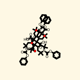 CC1(C)CC(C(CC(=O)O)(C(=O)O)C(C(=O)O)(C2CC(C)(C)N(C(=O)Oc3ccccc3)C(C)(C)C2)C(C(=O)O)(C2CC(C)(C)N(C(=O)Oc3ccccc3)C(C)(C)C2)C2CC(C)(C)N(C(=O)Oc3ccccc3)C(C)(C)C2)CC(C)(C)N1C(=O)Oc1ccccc1